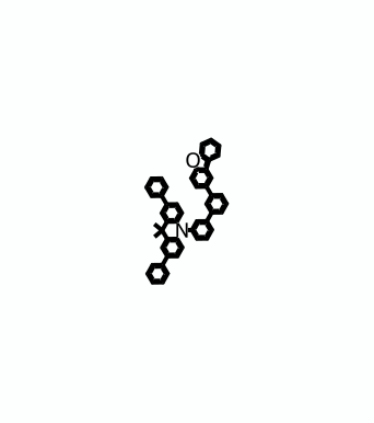 CC1(C)c2cc(-c3ccccc3)ccc2N(c2cccc(-c3cccc(-c4ccc5oc6ccccc6c5c4)c3)c2)c2ccc(-c3ccccc3)cc21